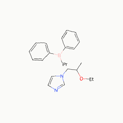 CC(C)B(c1ccccc1)c1ccccc1.CCOC(C)Cn1ccnc1